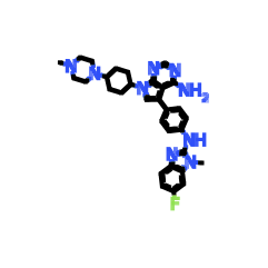 CN1CCN(C2CCC(n3cc(-c4ccc(Nc5nc6ccc(F)cc6n5C)cc4)c4c(N)ncnc43)CC2)CC1